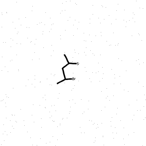 CC([S])CC(C)Br